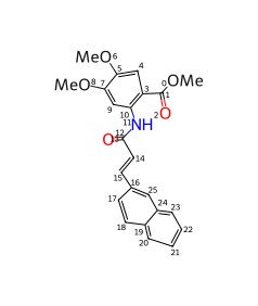 COC(=O)c1cc(OC)c(OC)cc1NC(=O)C=Cc1ccc2ccccc2c1